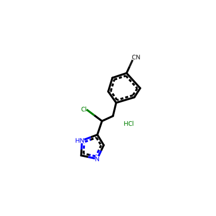 Cl.N#Cc1ccc(CC(Cl)c2cnc[nH]2)cc1